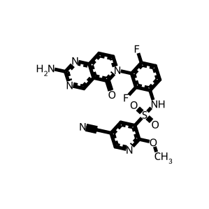 COc1ncc(C#N)cc1S(=O)(=O)Nc1ccc(F)c(-n2ccc3nc(N)ncc3c2=O)c1F